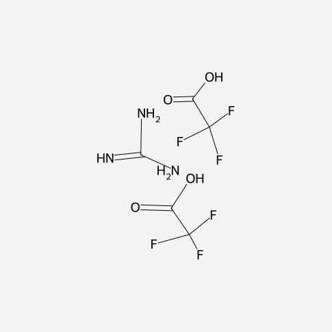 N=C(N)N.O=C(O)C(F)(F)F.O=C(O)C(F)(F)F